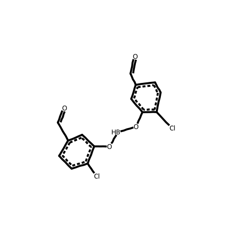 O=Cc1ccc(Cl)c(OBOc2cc(C=O)ccc2Cl)c1